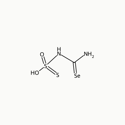 NC(=[Se])NS(=O)(O)=S